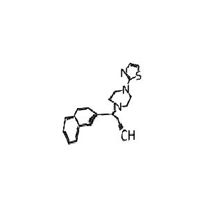 C#CC(c1ccc2ccccc2c1)N1CCN(c2nccs2)CC1